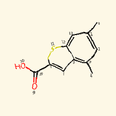 Cc1cc(C)c2cc(C(=O)O)sc2c1